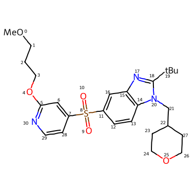 COCCCOc1cc(S(=O)(=O)c2ccc3c(c2)nc(C(C)(C)C)n3CC2CCOCC2)ccn1